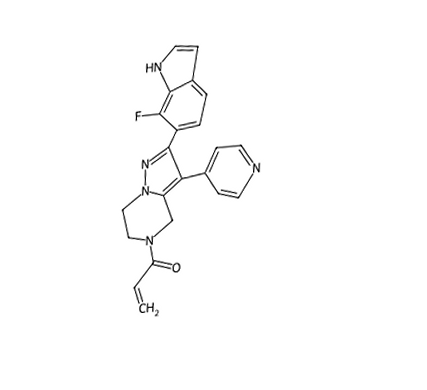 C=CC(=O)N1CCn2nc(-c3ccc4cc[nH]c4c3F)c(-c3ccncc3)c2C1